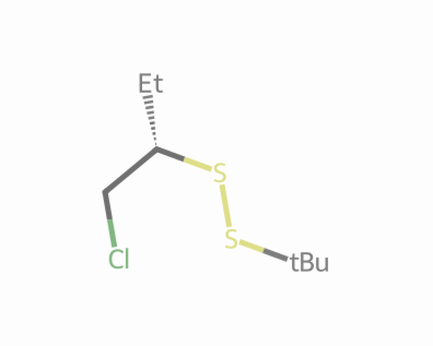 CC[C@@H](CCl)SSC(C)(C)C